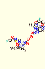 CN[C@@H](C)C(=O)N[C@H](C(=O)N1CCC[C@H]1C1=NC(C(=O)c2ccc(F)cc2)CS1)C1CCN(C(=O)CCOCCOCCC(=O)NCCN2N=CC3C(=C2C#N)c2cnc(N)c(n2)O[C@H](C)c2cc(F)ccc2C(=O)N3C)CC1